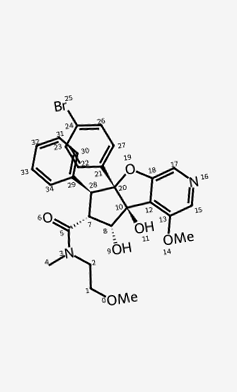 COCCN(C)C(=O)[C@H]1[C@@H](O)[C@@]2(O)c3c(OC)cncc3O[C@@]2(c2ccc(Br)cc2)[C@@H]1c1ccccc1